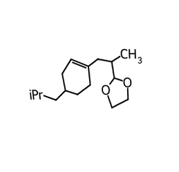 CC(C)CC1CC=C(CC(C)C2OCCO2)CC1